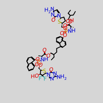 CCC(CCc1cccc2c(OP(=O)(N[C@@H](C)C(=O)OCC(CC)CC)OC[C@H]3S[C@@H](n4ccc(N)nc4=O)C[C@H]3O)cccc12)COC(=O)[C@H](C)NP(=O)(OC[C@H]1S[C@@H](n2cnc(N)nc2=O)C(F)(F)C1O)Oc1cccc2ccccc12